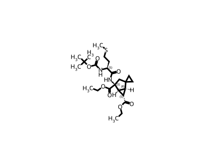 CCOC(=O)[C@H]1[C@H]2[C@@H]1[C@](NC(=O)[C@H](CCSC)NC(=O)OC(C)(C)C)(C(=O)OCC)CC21CC1